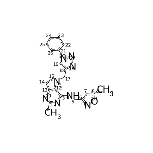 Cc1nc(NCc2cc(C)on2)c2c(ccn2Cc2cn(-c3ccccc3)nn2)n1